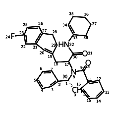 C[C@H](c1ccccc1)N(C(=O)c1ccccc1)C(CC1=Cc2cc(F)ccc2CC1)C(=O)NC1=CCCCC1